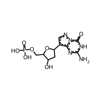 Nc1nc2c(C3CC(O)C(COP(=O)(O)O)O3)cnn2c(=O)[nH]1